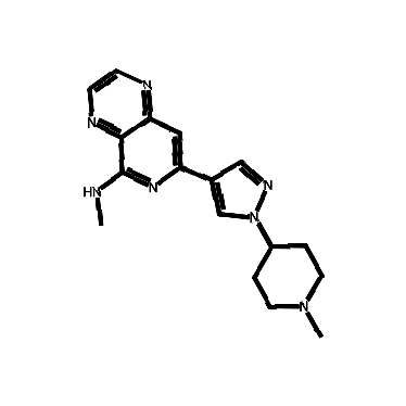 CNc1nc(-c2cnn(C3CCN(C)CC3)c2)cc2nccnc12